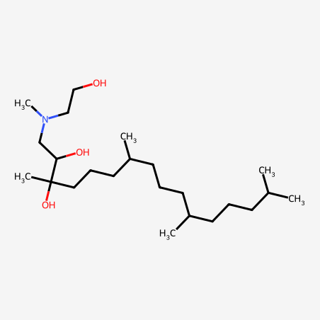 CC(C)CCCC(C)CCCC(C)CCCC(C)(O)C(O)CN(C)CCO